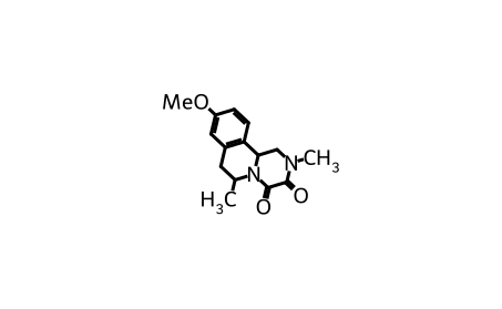 COc1ccc2c(c1)CC(C)N1C(=O)C(=O)N(C)CC21